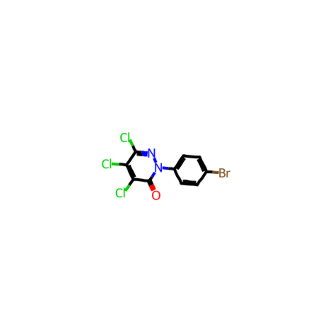 O=c1c(Cl)c(Cl)c(Cl)nn1-c1ccc(Br)cc1